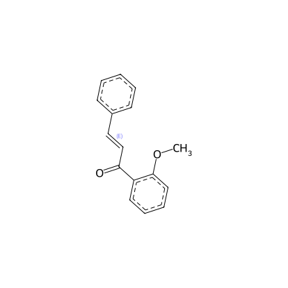 COc1ccccc1C(=O)/C=C/c1ccccc1